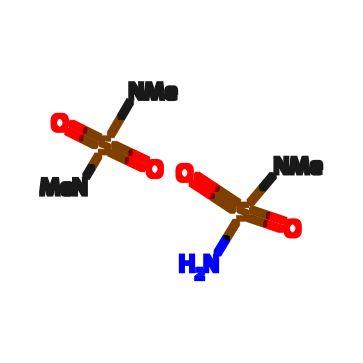 CNS(=O)(=O)NC.CNS(N)(=O)=O